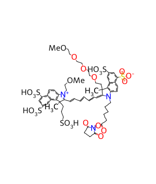 COCCOCCOCCOCCC1(C)\C(=C/C=C/C=C/C=C/C2=[N+](CCOC)c3ccc4c(S(=O)(=O)O)cc(S(=O)(=O)O)cc4c3C2(C)CCCS(=O)(=O)O)N(CCCCCC(=O)ON2C(=O)CCC2=O)c2ccc3c(S(=O)(=O)[O-])cc(S(=O)(=O)O)cc3c21